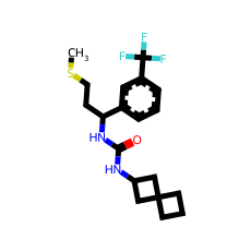 CSCCC(NC(=O)NC1CC2(CCC2)C1)c1cccc(C(F)(F)F)c1